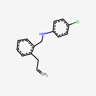 C=CCc1ccccc1CNc1ccc(Cl)cc1